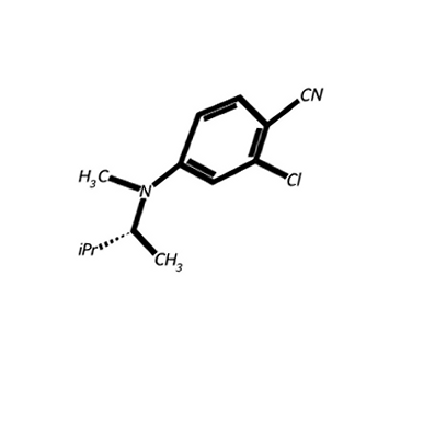 CC(C)[C@@H](C)N(C)c1ccc(C#N)c(Cl)c1